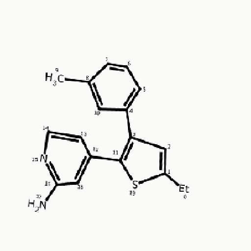 CCc1cc(-c2cccc(C)c2)c(-c2ccnc(N)c2)s1